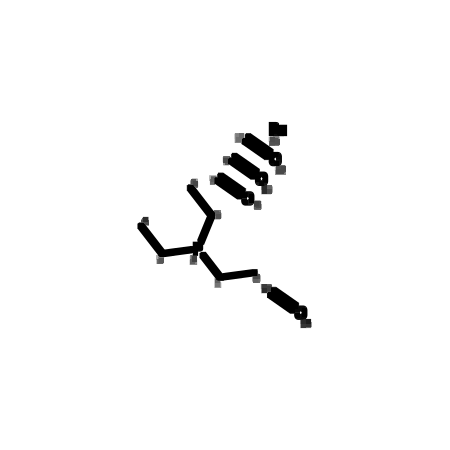 CCP(CC)CC.[C]=O.[C]=O.[C]=O.[C]=O.[Ru]